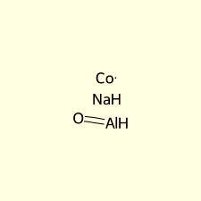 [Co].[NaH].[O]=[AlH]